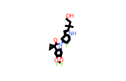 CC(C)(CCO)c1cc2cc(NC(=O)C3(c4ccc5c(c4)OC(F)(F)O5)CC3)c(F)cc2[nH]1